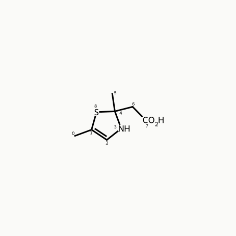 CC1=CNC(C)(CC(=O)O)S1